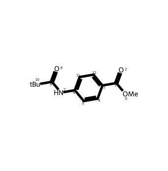 COC(=O)c1ccc(NC(=O)C(C)(C)C)cc1